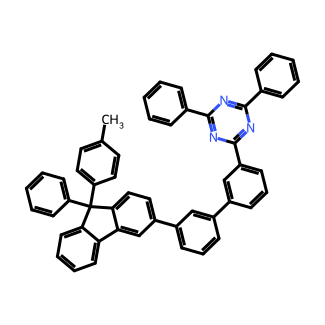 Cc1ccc(C2(c3ccccc3)c3ccccc3-c3cc(-c4cccc(-c5cccc(-c6nc(-c7ccccc7)nc(-c7ccccc7)n6)c5)c4)ccc32)cc1